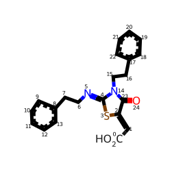 O=C(O)/C=C1\S/C(=N\CCc2ccccc2)N(CCc2ccccc2)C1=O